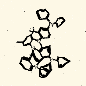 Cc1cc2c3c(c1)C(C)(C)c1cc(N(c4ccccc4)c4ccccc4)ccc1B3c1ccc(N(c3ccccc3)c3ccccc3)c3c1n-2c1c2ccccc2n(-c2ccccc2)c31